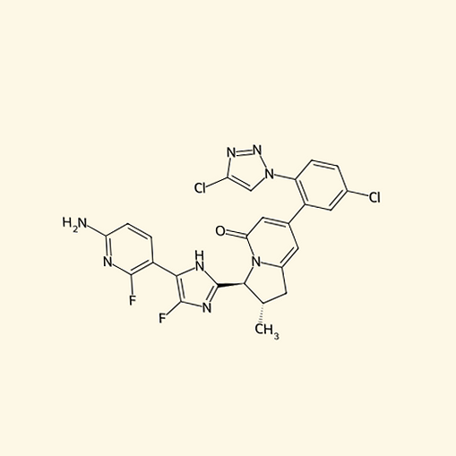 C[C@H]1Cc2cc(-c3cc(Cl)ccc3-n3cc(Cl)nn3)cc(=O)n2[C@@H]1c1nc(F)c(-c2ccc(N)nc2F)[nH]1